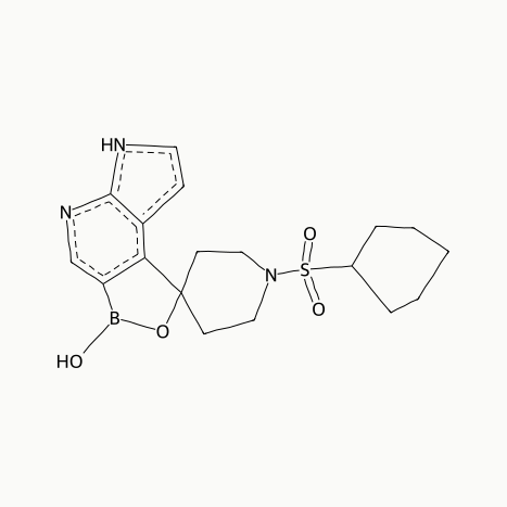 O=S(=O)(C1CCCCC1)N1CCC2(CC1)OB(O)c1cnc3[nH]ccc3c12